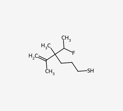 C=C(C)C(C)(CCCS)C(C)F